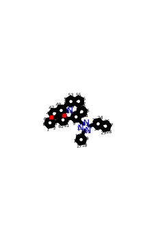 c1ccc(-c2ccc(-c3cc(-c4nc(-c5ccccc5)nc(-c5ccc6ccccc6c5)n4)c4ccccc4c3-n3c4cc5ccccc5cc4c4ccc5ccccc5c43)cc2)cc1